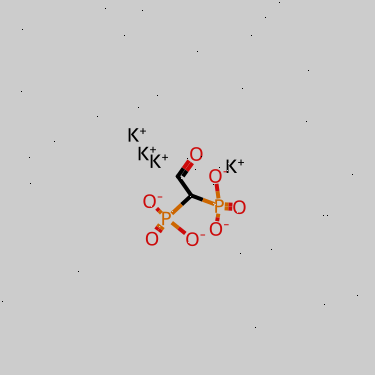 O=CC(P(=O)([O-])[O-])P(=O)([O-])[O-].[K+].[K+].[K+].[K+]